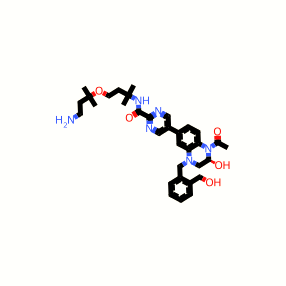 CC(=O)N1c2ccc(-c3cnc(C(=O)NC(C)(C)CCOC(C)(C)CCN)nc3)cc2N(Cc2ccccc2CO)C[C@@H]1O